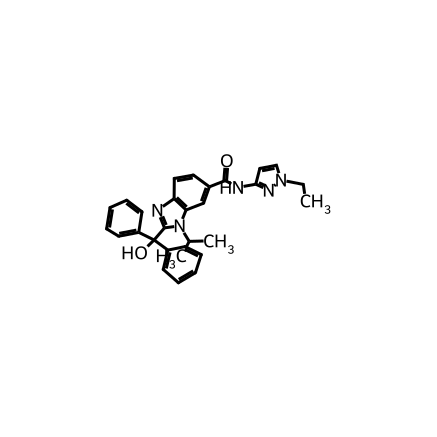 CCn1ccc(NC(=O)c2ccc3nc(C(O)(c4ccccc4)c4ccccc4)n(C(C)C)c3c2)n1